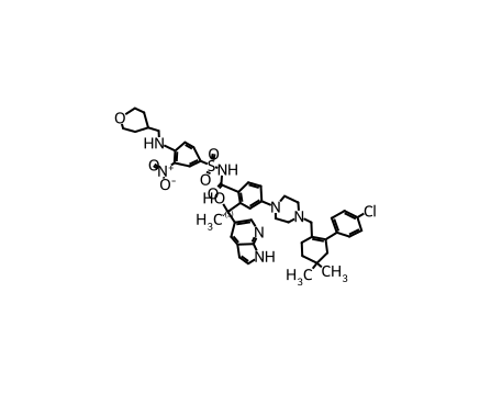 CC1(C)CCC(CN2CCN(c3ccc(C(=O)NS(=O)(=O)c4ccc(NCC5CCOCC5)c([N+](=O)[O-])c4)c([C@](C)(O)c4cnc5[nH]ccc5c4)c3)CC2)=C(c2ccc(Cl)cc2)C1